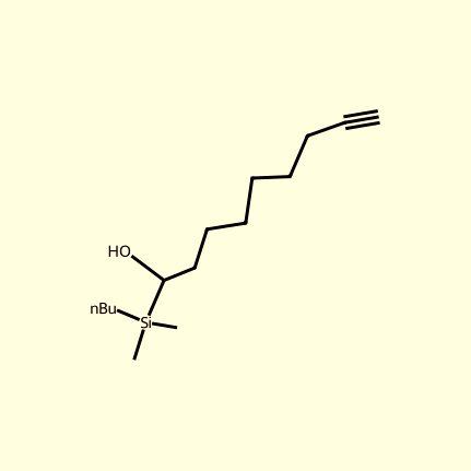 C#CCCCCCCC(O)[Si](C)(C)CCCC